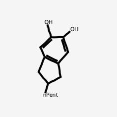 CCCCCC1Cc2cc(O)c(O)cc2C1